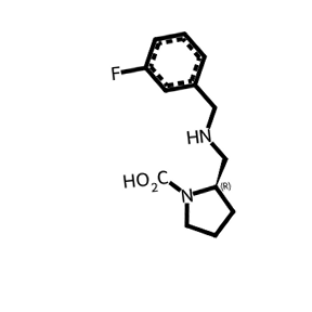 O=C(O)N1CCC[C@@H]1CNCc1cccc(F)c1